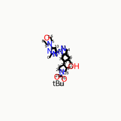 Cc1nc(N2CCOCC2)cc(-n2ncc3cc(C)c(C4CCN(C(=O)OC(C)(C)C)CC4O)cc32)n1